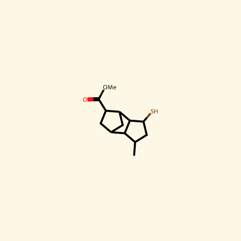 COC(=O)C1CC2CC1C1C(S)CC(C)C21